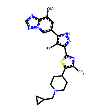 COc1cc(-c2[nH]nc(-c3nc(C(F)(F)F)c(C4CCN(CC5CC5)CC4)s3)c2C(C)C)cn2ncnc12